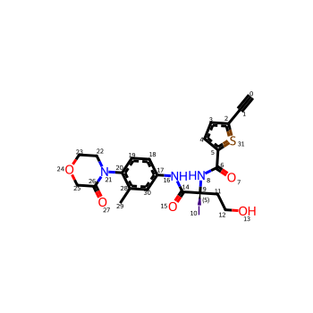 C#Cc1ccc(C(=O)N[C@](I)(CCO)C(=O)Nc2ccc(N3CCOCC3=O)c(C)c2)s1